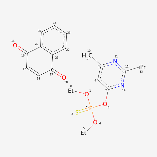 CCOP(=S)(OCC)Oc1cc(C)nc(C(C)C)n1.O=C1C=CC(=O)c2ccccc21